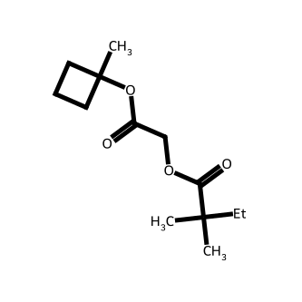 CCC(C)(C)C(=O)OCC(=O)OC1(C)CCC1